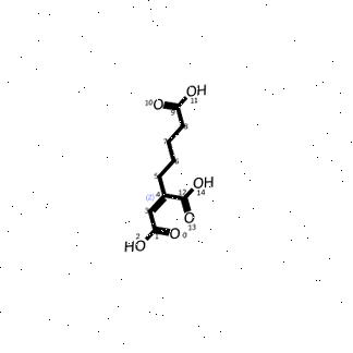 O=C(O)/C=C(/CCCCC(=O)O)C(=O)O